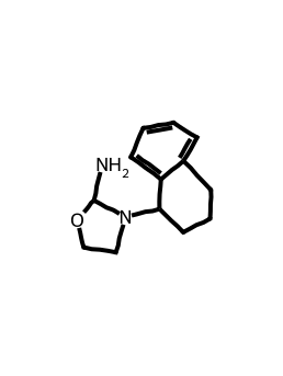 NC1OCCN1C1CCCc2ccccc21